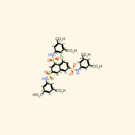 O=C(O)c1cc(NS(=O)(=O)c2cc(Cl)c3c(S(=O)(=O)Nc4cc(C(=O)O)cc(C(=O)O)c4)cc(S(=O)(=O)Nc4cc(C(=O)O)cc(C(=O)O)c4)cc3c2)cc(C(=O)O)c1